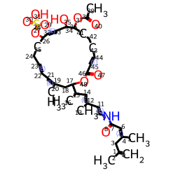 C=C(C)C/C(C)=C\C(=O)N/C=C/C(C)=C/C(C)C1C/C(C)=C/C=C/CCC(OS(=O)(=O)O)/C=C/C(O)C(OC(C)=O)CCC/C=C/C(=O)O1